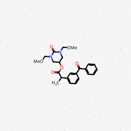 COCN1CC(OC(=O)C(C)c2cccc(C(=O)c3ccccc3)c2)CN(COC)C1=O